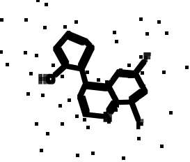 Oc1ccccc1-c1ccnc2c(F)cc(F)cc12